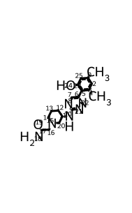 Cc1cc(C)c(-c2cnc(N[C@@H]3CCCN(CC(N)=O)C3)nn2)c(O)c1